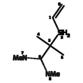 C=C[SiH2]C(C)(C)C(NC)NC